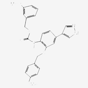 COc1ccc(CSc2cc(-c3cn[nH]c3)ccc2NC(=O)OCc2cccc(OC)c2)cc1